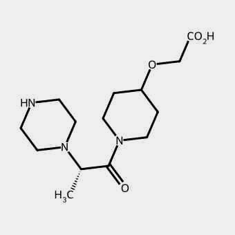 C[C@@H](C(=O)N1CCC(OCC(=O)O)CC1)N1CCNCC1